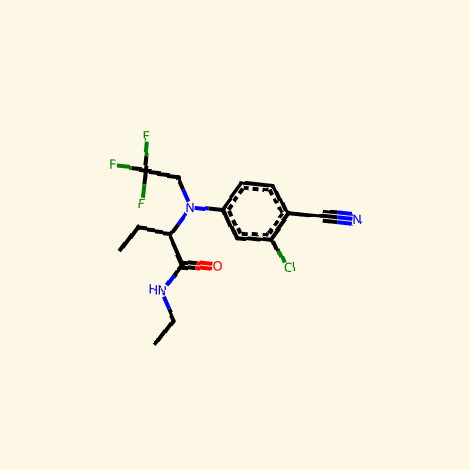 CCNC(=O)C(CC)N(CC(F)(F)F)c1ccc(C#N)c(Cl)c1